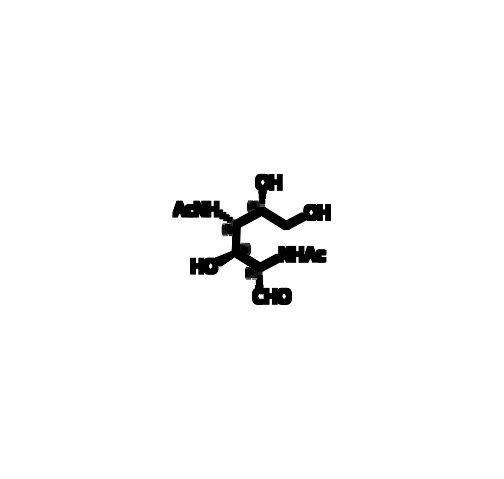 CC(=O)N[C@@H]([C@H](O)[C@@H](C=O)NC(C)=O)[C@H](O)CO